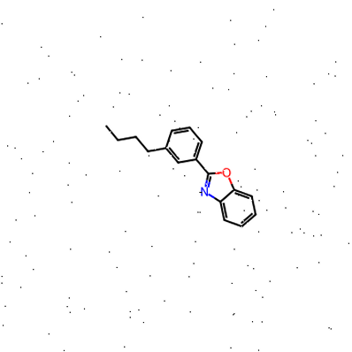 CCCCc1cccc(-c2nc3ccccc3o2)c1